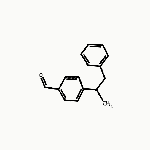 CC(Cc1ccccc1)c1ccc(C=O)cc1